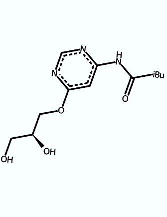 CCC(C)C(=O)Nc1cc(OC[C@@H](O)CO)ncn1